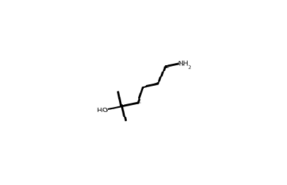 CC(C)(O)[CH]CCCN